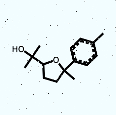 Cc1ccc(C2(C)CCC(C(C)(C)O)O2)cc1